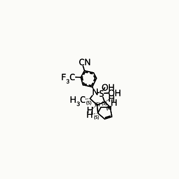 C[C@H]1[C@H]2[C@H]([C@H]3C=C[C@@H]2C3)S(O)(O)N1c1ccc(C#N)c(C(F)(F)F)c1